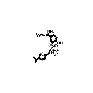 CN.COCN=C(N)c1ccc(O)c(S(=O)(=O)N(C)CCc2ccc(C(C)C)cc2)c1